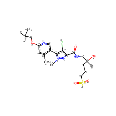 CCn1nc(C(=O)NCC(O)(CC)CCCS(C)(=O)=O)c(Cl)c1-c1cnc(OCC(C)(C)C(F)(F)F)cc1OC